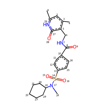 Cc1cc(C)c(CNC(=O)c2ccc(S(=O)(=O)N(C)C3CCCCC3)cc2)c(=O)[nH]1